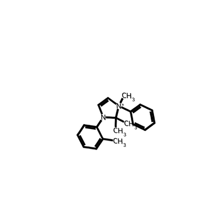 Cc1ccccc1N1C=C[N+](C)(c2ccccc2)C1(C)C